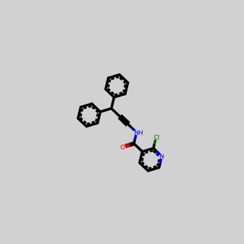 O=C(NC#CC(c1ccccc1)c1ccccc1)c1cccnc1Cl